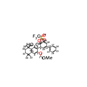 COCOc1cc2c(cc1C1C=C(c3ccccc3)C=CC1(OS(=O)(=O)C(F)(F)F)C(=O)O)C(C)(C)CCC2(C)C